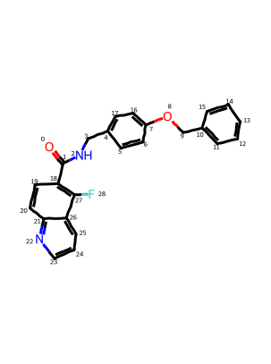 O=C(NCc1ccc(OCc2ccccc2)cc1)c1ccc2ncccc2c1F